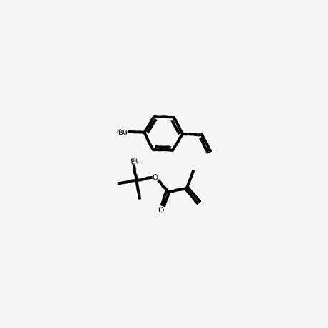 C=C(C)C(=O)OC(C)(C)CC.C=Cc1ccc(C(C)CC)cc1